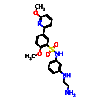 COc1cccc(-c2ccc(OC)c(S(=O)(=O)Nc3cccc(NCCN)c3)c2)n1